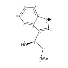 CNC[C@@H](O)c1c[nH]c2ccccc12